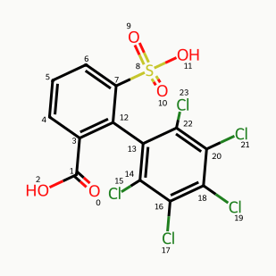 O=C(O)c1cccc(S(=O)(=O)O)c1-c1c(Cl)c(Cl)c(Cl)c(Cl)c1Cl